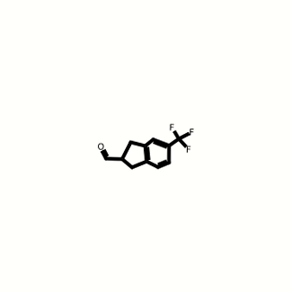 O=CC1Cc2ccc(C(F)(F)F)cc2C1